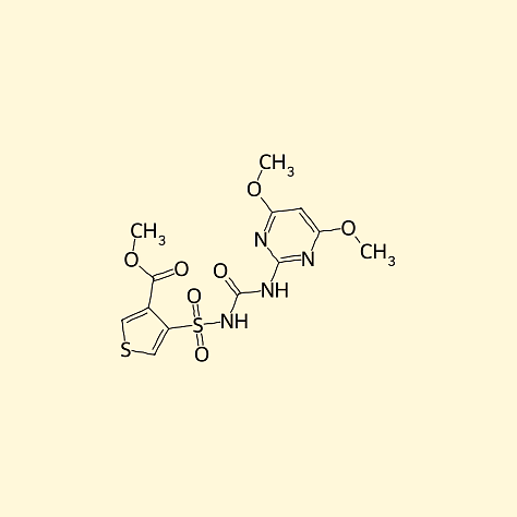 COC(=O)c1cscc1S(=O)(=O)NC(=O)Nc1nc(OC)cc(OC)n1